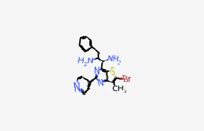 Cc1c(Br)sc2c(C(N)C(N)Cc3ccccc3)nc(-c3ccncc3)nc12